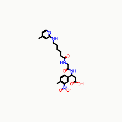 Cc1ccnc(NCCCCCC(=O)NCC(=O)NC(CC(=O)O)c2ccc(C)c([N+](=O)[O-])c2)c1